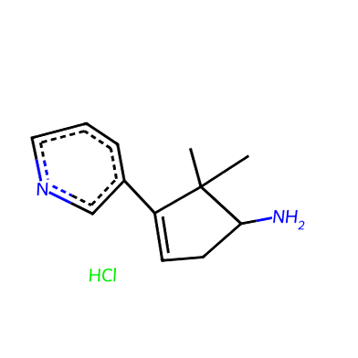 CC1(C)C(c2cccnc2)=CCC1N.Cl